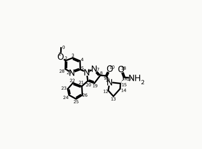 COc1ccc(-n2nc(C(=O)N3CCC[C@H]3C(N)=O)cc2-c2ccccc2)nc1